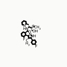 CO[C@H](CO)[C@@H](Cc1ccccn1)NC(=O)c1cccc(F)c1-c1n[nH]c(-c2ccc(F)cc2)c1C